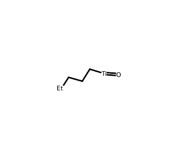 CCCC[CH2][Ti]=[O]